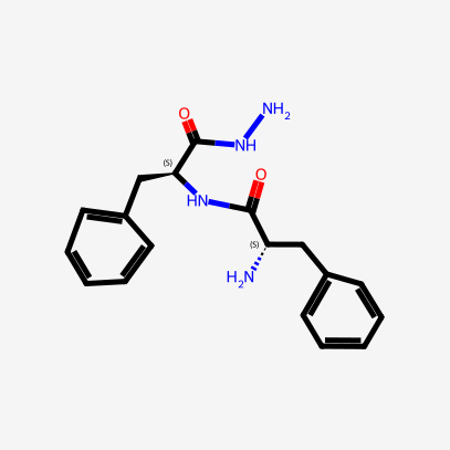 NNC(=O)[C@H](Cc1ccccc1)NC(=O)[C@@H](N)Cc1ccccc1